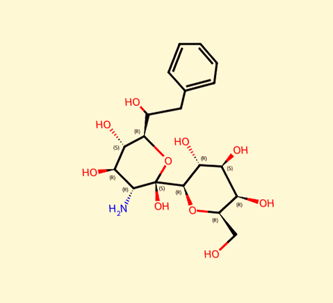 N[C@@H]1[C@@H](O)[C@H](O)[C@@H](C(O)Cc2ccccc2)O[C@]1(O)[C@@H]1O[C@H](CO)[C@H](O)[C@H](O)[C@H]1O